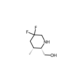 C[C@@H]1CC(F)(F)CN[C@@H]1CO